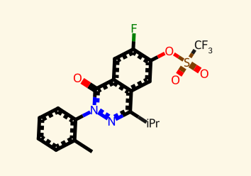 Cc1ccccc1-n1nc(C(C)C)c2cc(OS(=O)(=O)C(F)(F)F)c(F)cc2c1=O